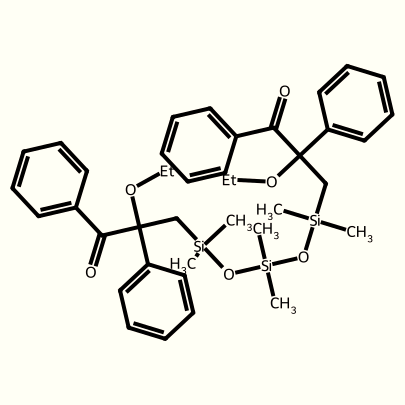 CCOC(C[Si](C)(C)O[Si](C)(C)O[Si](C)(C)CC(OCC)(C(=O)c1ccccc1)c1ccccc1)(C(=O)c1ccccc1)c1ccccc1